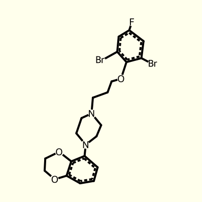 Fc1cc(Br)c(OCCCN2CCN(c3cccc4c3OCCO4)CC2)c(Br)c1